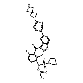 O=C(c1c(F)ccc(N(OC(=O)C(F)(F)F)S(=O)(=O)N2CCCC2)c1F)c1c[nH]c2ncc(-c3cnc(N4CC5(CNC5)C4)nc3)cc12